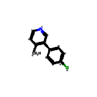 O=C(O)c1ccncc1-c1ccc(Cl)cc1